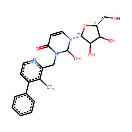 O=C1C=CN([C@@H]2O[C@H](CO)C(O)C2O)C(O)N1Cc1nccc(-c2ccccc2)c1C(F)(F)F